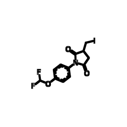 O=C1CC(CI)C(=O)N1c1ccc(OC(F)F)cc1